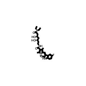 CCN(CC)C(=O)C[C@H](O)C[C@H](O)CCNC(=O)c1c(C)[nH]c(/C=C2\C(=O)Nc3ccc(F)cc32)c1C